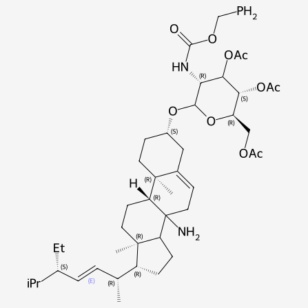 CC[C@H](/C=C/[C@@H](C)[C@H]1CCC2C3(N)CC=C4C[C@@H](OC5O[C@H](COC(C)=O)[C@@H](OC(C)=O)C(OC(C)=O)[C@H]5NC(=O)OCP)CC[C@]4(C)[C@H]3CC[C@@]21C)C(C)C